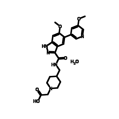 COc1cncc(-c2cc3c(C(=O)NCC4CCN(CC(=O)O)CC4)n[nH]c3cc2OC)c1.O